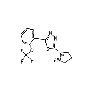 FC(F)(F)Oc1ccccc1-c1nnc([C@@H]2CCCN2)s1